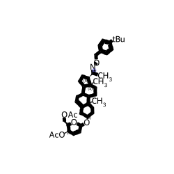 CC(=O)OC[C@H]1OC(O[C@H]2CC[C@@]3(C)C(=CCC4C3CC[C@@]3(C)C4CC[C@@H]3/C(C)=N/OCc3ccc(C(C)(C)C)cc3)C2)C=C[C@@H]1OC(C)=O